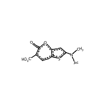 CC(=O)N(C)c1cc2oc(=O)c(C(=O)O)cc2s1